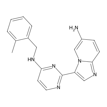 Cc1ccccc1CNc1ccnc(-c2cnc3ccc(N)cn23)n1